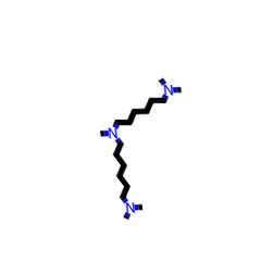 CN(C)CCCCCCN(C)CCCCCCN(C)C